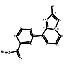 COC(=O)c1cccc(-c2cccn3cc(C)nc23)c1